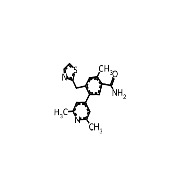 Cc1cc(-c2cc(C(N)=O)c(C)cc2Cc2nccs2)cc(C)n1